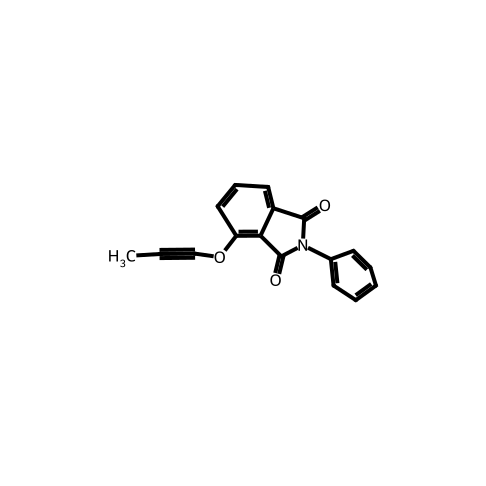 CC#COc1cccc2c1C(=O)N(c1ccccc1)C2=O